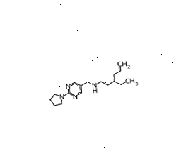 C=CCC(CC)CCNCc1cnc(N2CCCC2)nc1